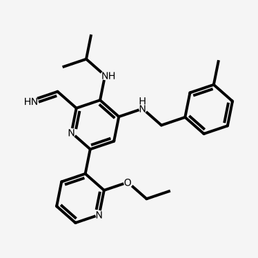 CCOc1ncccc1-c1cc(NCc2cccc(C)c2)c(NC(C)C)c(C=N)n1